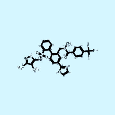 Cc1noc(NS(=O)(=O)c2ccccc2-c2ccc(-c3ncco3)cc2CN(C)C(=O)c2ccc(C(F)(F)F)cc2)c1C